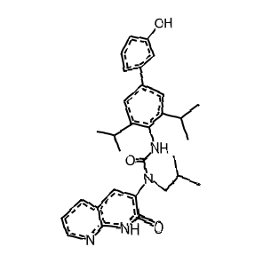 CC(C)CN(C(=O)Nc1c(C(C)C)cc(-c2cccc(O)c2)cc1C(C)C)c1cc2cccnc2[nH]c1=O